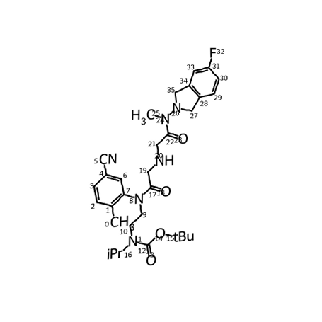 Cc1ccc(C#N)cc1N(CCN(C(=O)OC(C)(C)C)C(C)C)C(=O)CNCC(=O)N(C)N1Cc2ccc(F)cc2C1